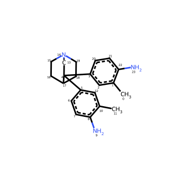 Cc1cc(C2(c3ccc(N)c(C)c3)CN3CCC2CC3)ccc1N